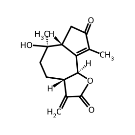 C=C1C(=O)O[C@@H]2C3=C(C)C(=O)C[C@H]3[C@](C)(O)CC[C@@H]12